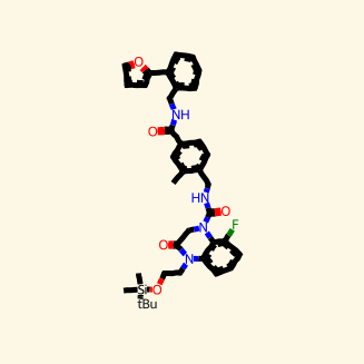 Cc1cc(C(=O)NCc2ccccc2-c2ccco2)ccc1CNC(=O)N1CC(=O)N(CCO[Si](C)(C)C(C)(C)C)c2cccc(F)c21